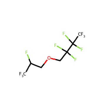 FC(COCC(F)(F)C(F)(F)C(F)(F)F)C(F)(F)F